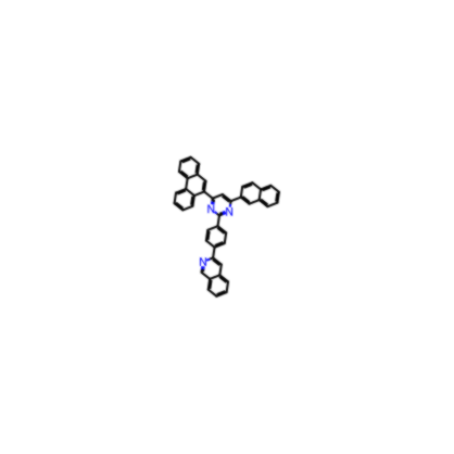 c1ccc2cc(-c3cc(-c4cc5ccccc5c5ccccc45)nc(-c4ccc(-c5cc6ccccc6cn5)cc4)n3)ccc2c1